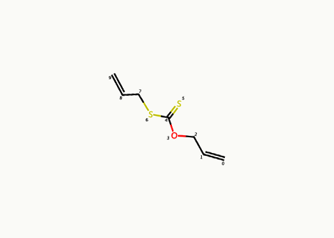 C=CCOC(=S)SCC=C